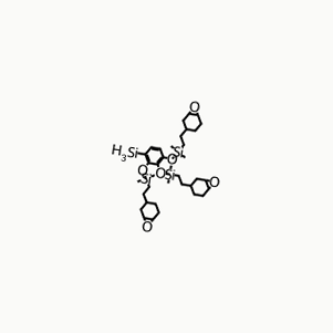 C[Si](C)(CCC1CCC2OC2C1)Oc1ccc([SiH3])c(O[Si](C)(C)CCC2CCC3OC3C2)c1O[Si](C)(C)CCC1CCC2OC2C1